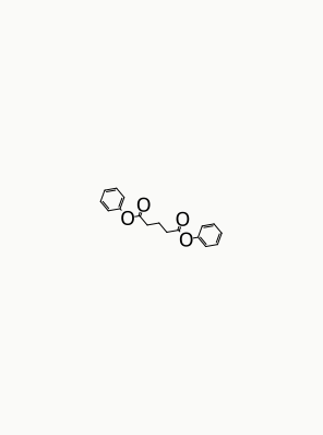 O=C(CCCC(=O)Oc1ccccc1)Oc1ccccc1